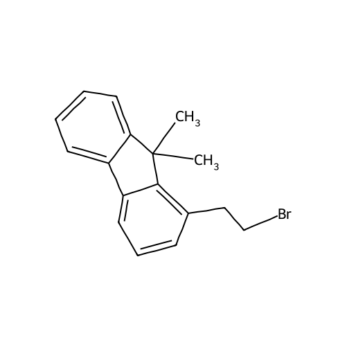 CC1(C)c2ccccc2-c2cccc(CCBr)c21